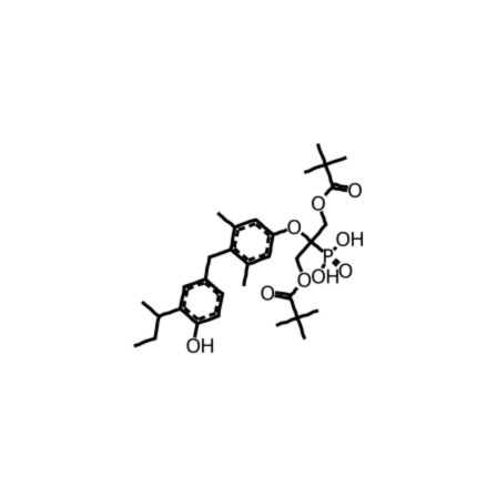 CCC(C)c1cc(Cc2c(C)cc(OC(COC(=O)C(C)(C)C)(COC(=O)C(C)(C)C)P(=O)(O)O)cc2C)ccc1O